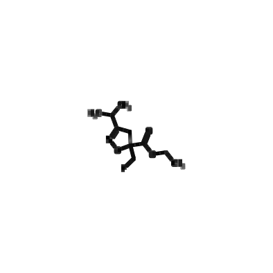 CCOC(=O)C1(CF)CC(C(C)C)=NO1